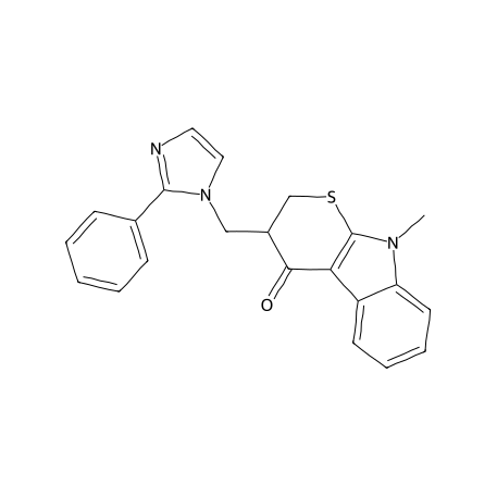 Cn1c2c(c3ccccc31)C(=O)C(Cn1ccnc1-c1ccccc1)CS2